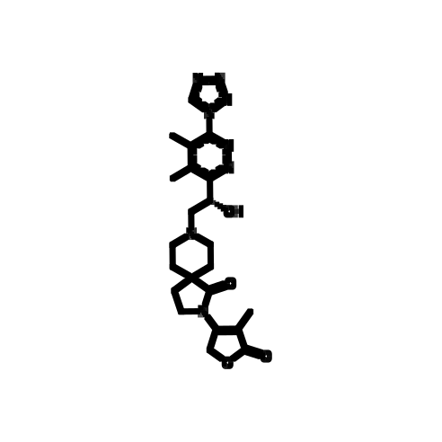 CC1=C(N2CCC3(CCN(C[C@@H](O)c4nnc(-n5cnnn5)c(C)c4C)CC3)C2=O)COC1=O